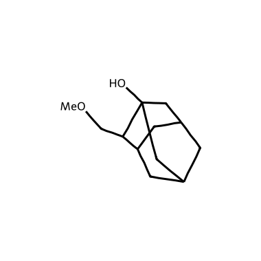 COCC1C2CC3CC(C2)CC1(O)C3